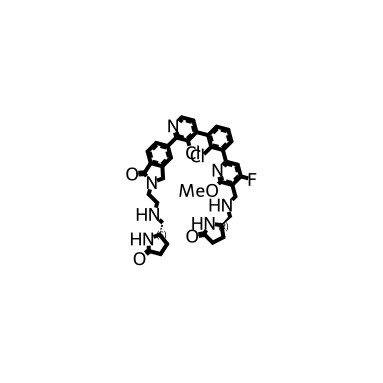 COc1nc(-c2cccc(-c3ccnc(-c4ccc5c(c4)CN(CCNC[C@@H]4CCC(=O)N4)C5=O)c3Cl)c2Cl)cc(F)c1CNC[C@H]1CCC(=O)N1